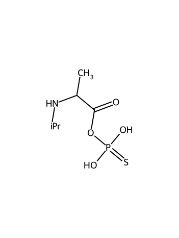 CC(C)NC(C)C(=O)OP(O)(O)=S